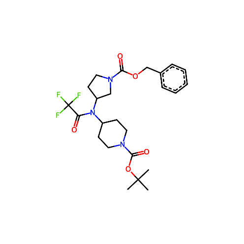 CC(C)(C)OC(=O)N1CCC(N(C(=O)C(F)(F)F)C2CCN(C(=O)OCc3ccccc3)C2)CC1